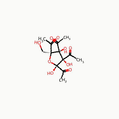 CC(=O)[C@@]1(O)[C@@](O)(C(C)=O)[C@](CO)(C(C)=O)O[C@@]1(O)C(C)=O